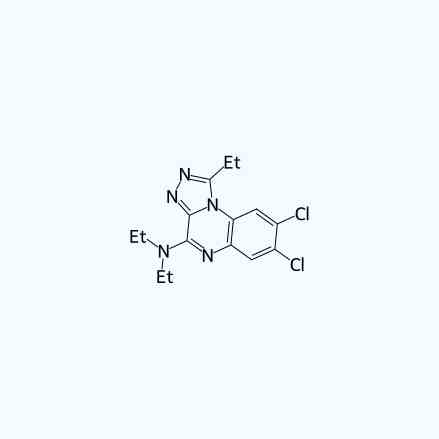 CCc1nnc2c(N(CC)CC)nc3cc(Cl)c(Cl)cc3n12